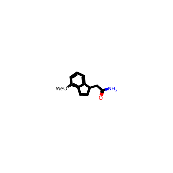 COc1cccc2c1CCC2CC(N)=O